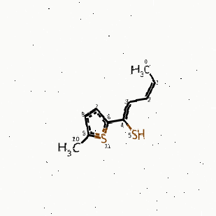 C/C=C\C=C(/S)c1ccc(C)s1